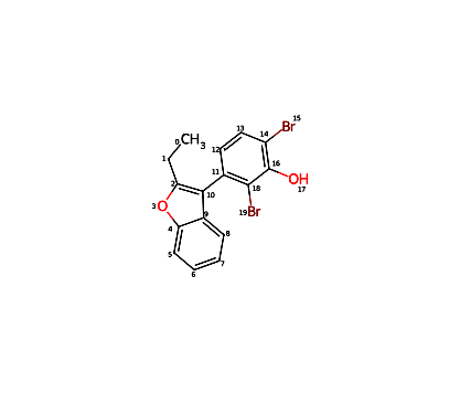 CCc1oc2ccccc2c1-c1[c]cc(Br)c(O)c1Br